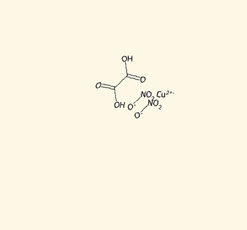 O=C(O)C(=O)O.O=[N+]([O-])[O-].O=[N+]([O-])[O-].[Cu+2]